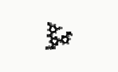 CC(C)Nc1nc(Nc2cc(F)cc(F)c2)nc(-c2cccc(N)n2)n1